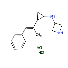 C/C(=C\c1ccccc1)C1CC1NC1CNC1.Cl.Cl